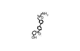 CN(Cc1cccc(-c2ccc(C(=O)N3CCCC(O)C3)cc2)c1)C(=O)CN